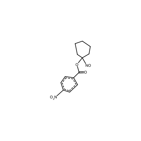 O=NC1(OC(=O)c2ccc([N+](=O)[O-])cc2)CCCCC1